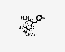 CON(C)C(=O)C(NC(=O)C(Cc1cccc(C)c1)OC(N)=O)C(C)C